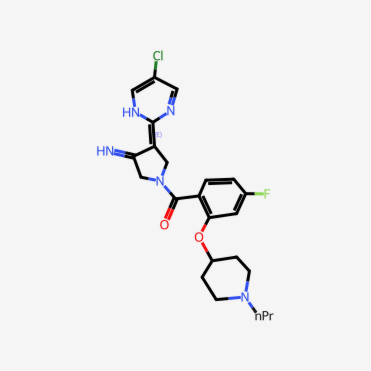 CCCN1CCC(Oc2cc(F)ccc2C(=O)N2CC(=N)/C(=C3/N=CC(Cl)=CN3)C2)CC1